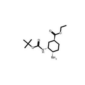 CCOC(=O)[C@H]1CC[C@H](N)[C@H](NC(=O)OC(C)(C)C)C1